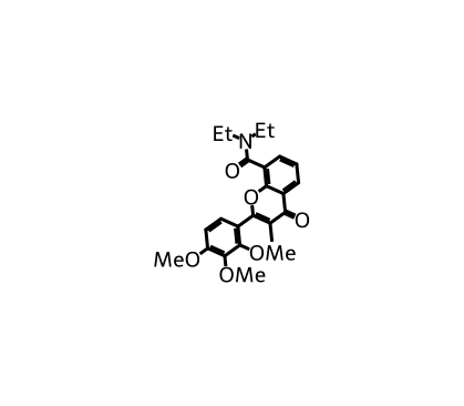 CCN(CC)C(=O)c1cccc2c(=O)c(C)c(-c3ccc(OC)c(OC)c3OC)oc12